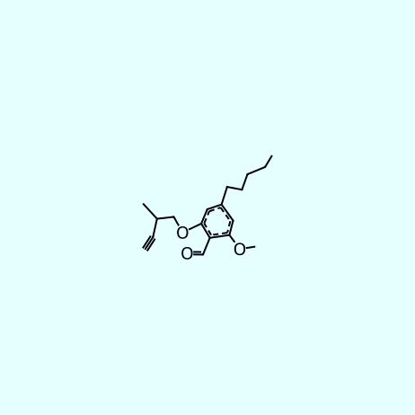 C#CC(C)COc1cc(CCCCC)cc(OC)c1C=O